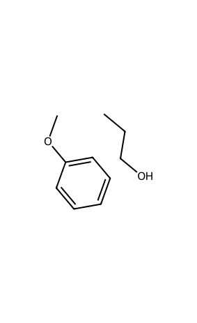 CCCO.COc1ccccc1